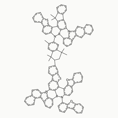 Cc1cc2c(cc1N1B3c4c(cc5c(c4-c4c1ccc1c4sc4ccccc41)C(C)(C)c1ccccc1-5)-n1c4cc5ccccc5cc4c4cccc3c41)C(C)(C)CC(c1ccc3c(c1)sc1c4c5c(cc13)-n1c3ccc6ccccc6c3c3cccc(c31)B5N(c1cccc3c1oc1ccccc13)c1ccc3c(oc5ccccc53)c1-4)C2(C)C